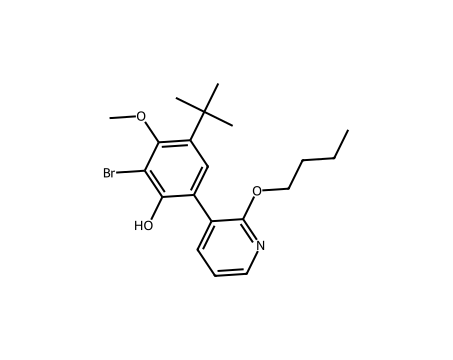 CCCCOc1ncccc1-c1cc(C(C)(C)C)c(OC)c(Br)c1O